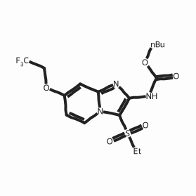 CCCCOC(=O)Nc1nc2cc(OCC(F)(F)F)ccn2c1S(=O)(=O)CC